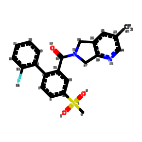 CS(=O)(=O)c1ccc(-c2ccccc2F)c(C(=O)N2Cc3cc(C(F)(F)F)cnc3C2)c1